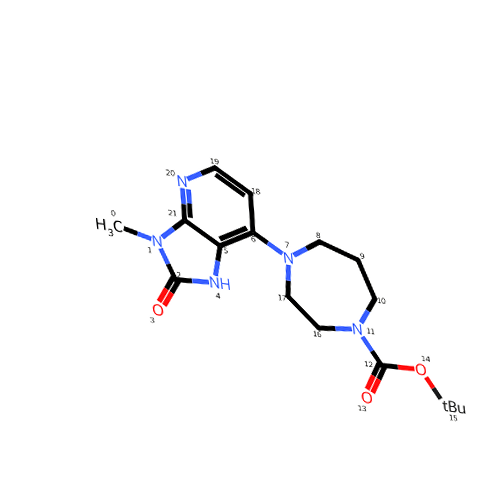 Cn1c(=O)[nH]c2c(N3CCCN(C(=O)OC(C)(C)C)CC3)ccnc21